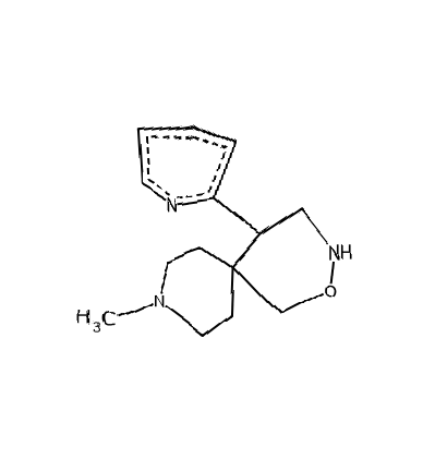 CN1CCC2(CC1)CONCC2c1ccccn1